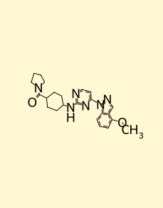 COc1cccc2c1cnn2-c1ccnc(NC2CCC(C(=O)N3CCCC3)CC2)n1